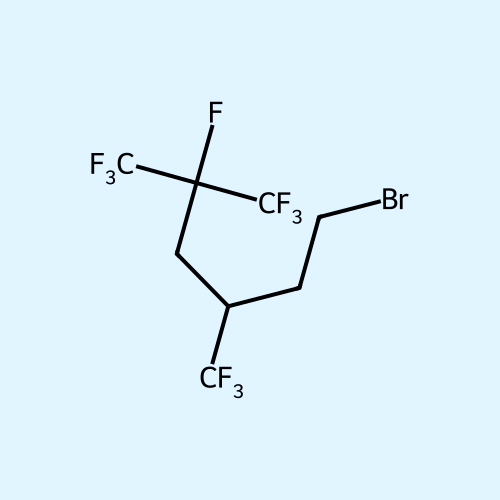 FC(F)(F)C(CCBr)CC(F)(C(F)(F)F)C(F)(F)F